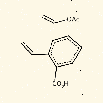 C=COC(C)=O.C=Cc1ccccc1C(=O)O